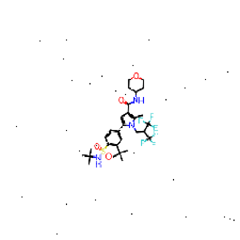 Cc1c(C(=O)NC2CCOCC2)cc(-c2ccc(S(=O)(=O)NC(C)(C)C)c(C(C)(C)C)c2)n1CC(C(F)(F)F)C(F)(F)F